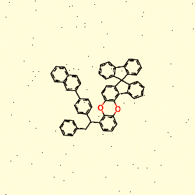 c1ccc(CC(c2ccc(-c3ccc4ccccc4c3)cc2)c2cccc3c2Oc2ccc4c(c2O3)-c2ccccc2C42c3ccccc3-c3ccccc32)cc1